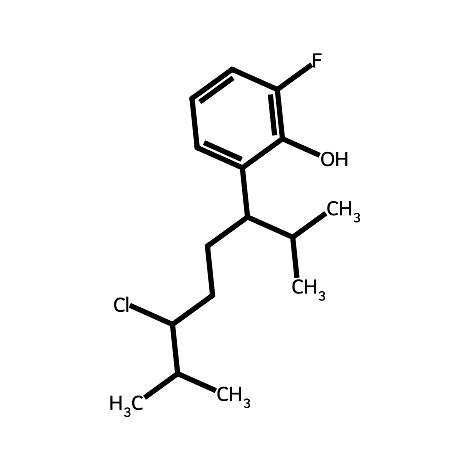 CC(C)C(Cl)CCC(c1cccc(F)c1O)C(C)C